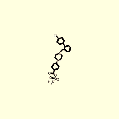 NS(=O)(=O)OC(=O)c1ccc(N2CCN(Cc3ccccc3-c3ccc(Cl)cc3)CC2)cc1